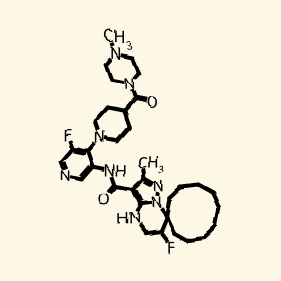 Cc1nn2c(c1C(=O)Nc1cncc(F)c1N1CCC(C(=O)N3CCN(C)CC3)CC1)NCC(F)C21CCCCCCCCC1